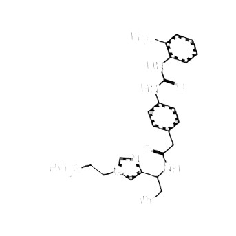 Cc1ccccc1NC(=O)Nc1ccc(CC(=O)NC(CC(C)C)c2cn(CCC(=O)O)cn2)cc1